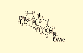 CON=C1CC[C@@]2(C)C(CC[C@@H]3[C@@H]2CC[C@]2(C)C(=O)CC[C@@H]32)C1